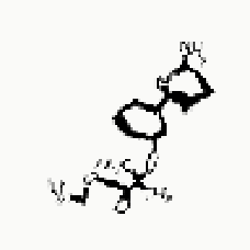 CCOC(=O)C(C)(C)Oc1cccc(-c2cccc(N)n2)c1